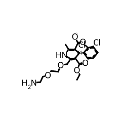 CCOC(=O)C1=C(COCCOCCN)NC(C)=C(C(=O)OC)[C@H]1c1cccc(Cl)c1Cl